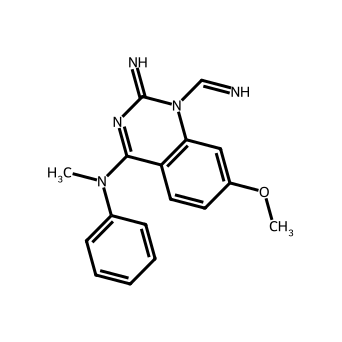 COc1ccc2c(N(C)c3ccccc3)nc(=N)n(C=N)c2c1